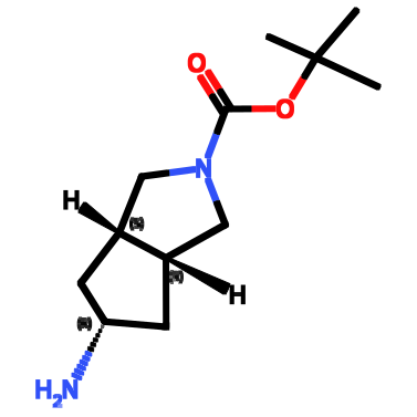 CC(C)(C)OC(=O)N1C[C@H]2C[C@@H](N)C[C@H]2C1